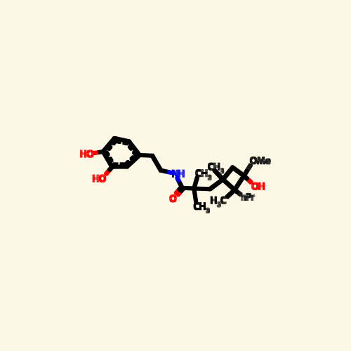 CCCC1(C)C(C)(CC(C)(C)C(=O)NCCc2ccc(O)c(O)c2)CC1(O)OC